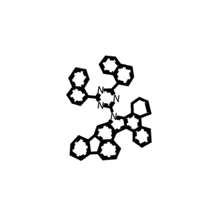 C1=Cc2c(c3c(c4ccccc24)c2c4cccc5c4c(cc2n3-c2nc(-c3cccc4ccccc34)nc(-c3cccc4ccccc34)n2)-c2ccccc2-5)CC1